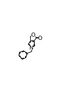 O=C1OCc2cn(Cc3ccccc3)cc21